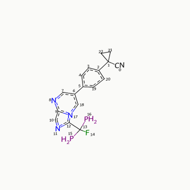 N#CC1(c2ccc(-c3cnc4cnc(C(F)(P)P)n4c3)cc2)CC1